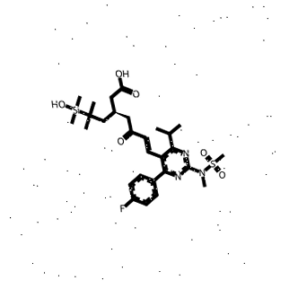 CC(C)c1nc(N(C)S(C)(=O)=O)nc(-c2ccc(F)cc2)c1/C=C/C(=O)C[C@H](CC(=O)O)CC(C)(C)[Si](C)(C)O